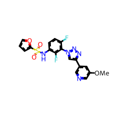 COc1cncc(-c2cn(-c3c(F)ccc(NS(=O)(=O)c4ccco4)c3F)nn2)c1